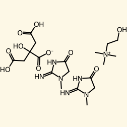 CN1CC(=O)NC1=N.CN1CC(=O)NC1=N.C[N+](C)(C)CCO.O=C(O)CC(O)(CC(=O)O)C(=O)[O-]